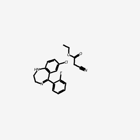 CCOC(=O)CC#N.Fc1ccccc1C1=NCCNc2ccc(Cl)cc21